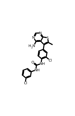 Cc1sc2ncnc(N)c2c1-c1ccc(NC(=O)Nc2cccc(Cl)c2)c(Cl)c1